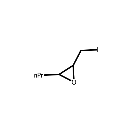 CCCC1OC1CI